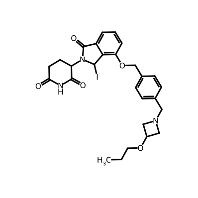 CCCOC1CN(Cc2ccc(COc3cccc4c3C(I)N(C3CCC(=O)NC3=O)C4=O)cc2)C1